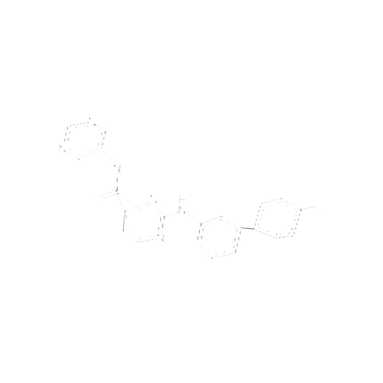 O=C(Nc1cncnc1)c1ccnc(Nc2cccc(-c3ccc(Cl)cc3)c2)n1